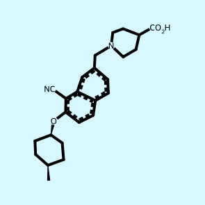 C[C@H]1CC[C@@H](Oc2ccc3ccc(CN4CCC(C(=O)O)CC4)cc3c2C#N)CC1